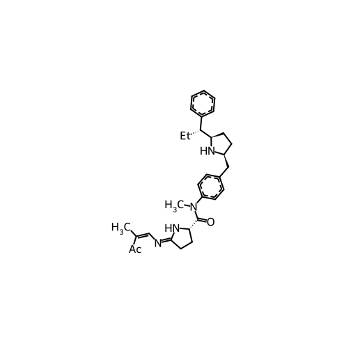 CC[C@H](c1ccccc1)[C@H]1CC[C@@H](Cc2ccc(N(C)C(=O)[C@@H]3CC/C(=N/C=C(/C)C(C)=O)N3)cc2)N1